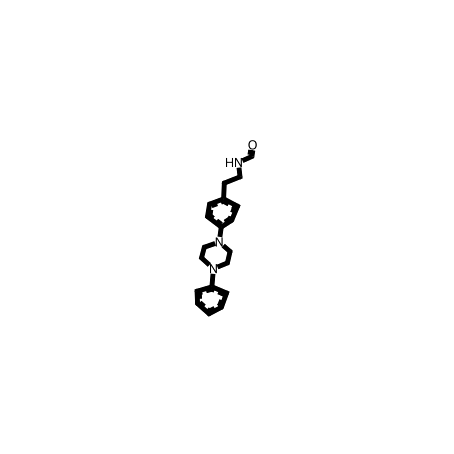 O=CNCCc1ccc(N2CCN(c3ccccc3)CC2)cc1